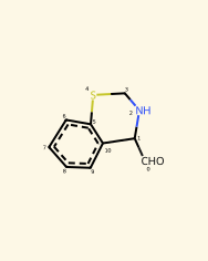 O=CC1NCSc2ccccc21